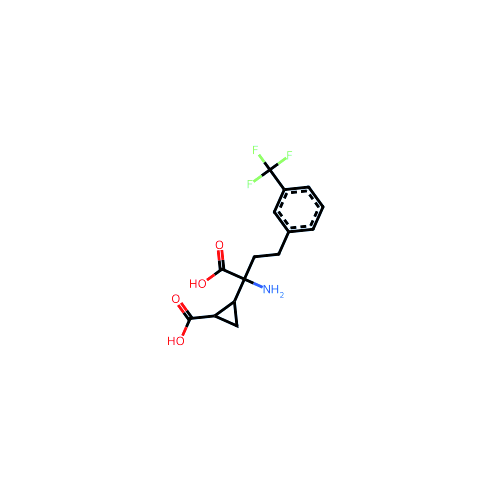 NC(CCc1cccc(C(F)(F)F)c1)(C(=O)O)C1CC1C(=O)O